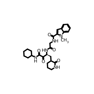 Cn1c(C(=O)NCC(=O)N[C@@H](CC2CCCNC2=O)C(=O)C(=O)NC2CCCCC2)cc2ccccc21